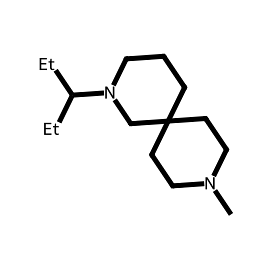 CCC(CC)N1CCCC2(CCN(C)CC2)C1